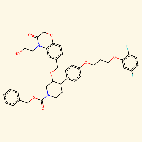 O=C(OCc1ccccc1)N1CCC(c2ccc(OCCCOc3cc(F)ccc3F)cc2)C(OCc2ccc3c(c2)N(CCO)C(=O)CO3)C1